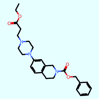 CCOC(=O)CCN1CCN(c2ccc3c(c2)CN(C(=O)OCc2ccccc2)CC3)CC1